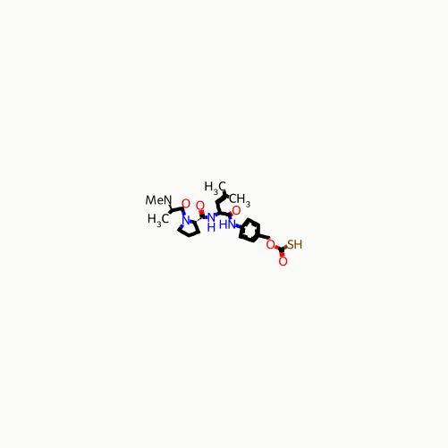 CN[C@H](C)C(=O)N1CCC[C@H]1C(=O)NC(C=C(C)C)C(=O)Nc1ccc(COC(=O)S)cc1